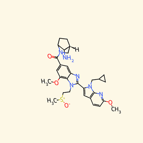 COc1ccc2cc(-c3nc4cc(C(=O)N5C[C@H]6CCC5C6N)cc(OC)c4n3CC[S+](C)[O-])n(CC3CC3)c2n1